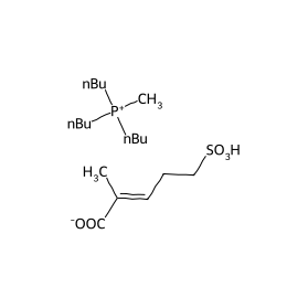 CC(=CCCS(=O)(=O)O)C(=O)[O-].CCCC[P+](C)(CCCC)CCCC